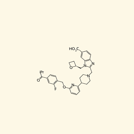 CC(C)C(=O)c1ccc(COc2cccc(C3CCN(Cc4nc5ccc(C(=O)O)cc5n4C[C@@H]4CCO4)CC3)n2)c(F)c1